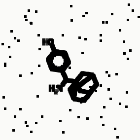 NC(c1ccc(O)cc1)C12CC3CC(CC(C3)C1)C2